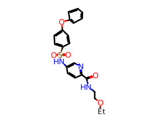 CCOCCNC(=O)c1ccc(NS(=O)(=O)c2ccc(Oc3ccccc3)cc2)cn1